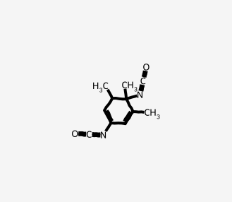 CC1=CC(N=C=O)=CC(C)C1(C)N=C=O